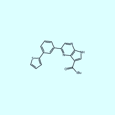 CC(C)(C)C(=O)c1c[nH]c2ncc(-c3cccc(-c4cccs4)c3)nc12